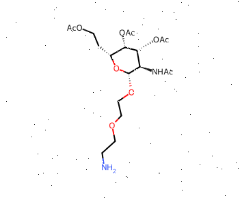 CC(=O)N[C@H]1[C@H](OCCOCCN)O[C@H](CCOC(C)=O)[C@H](OC(C)=O)[C@@H]1OC(C)=O